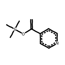 C=C(O[Si](C)(C)C)c1ccncc1